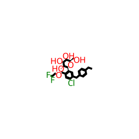 CCc1ccc(Cc2cc([C@@H]3O[C@H](CO)[C@@H](O)[C@H](O)[C@H]3O)c(COCC(F)F)cc2Cl)cc1